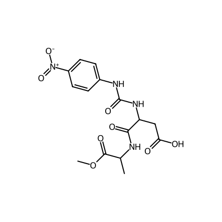 COC(=O)C(C)NC(=O)C(CC(=O)O)NC(=O)Nc1ccc([N+](=O)[O-])cc1